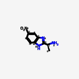 C[C@H](N)c1nc2cc([N+](=O)[O-])ccc2[nH]1